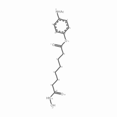 CC(=O)Nc1ccc(OC(=O)CCCCCCC(=O)NO)cc1